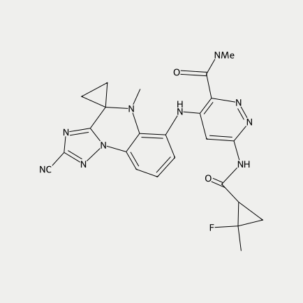 CNC(=O)c1nnc(NC(=O)C2CC2(C)F)cc1Nc1cccc2c1N(C)C1(CC1)c1nc(C#N)nn1-2